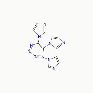 c1cn(-c2nnnc(-n3ccnc3)c2-n2ccnc2)cn1